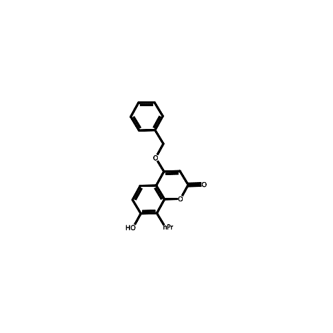 CCCc1c(O)ccc2c(OCc3ccccc3)cc(=O)oc12